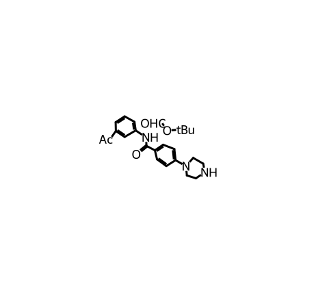 CC(=O)c1cccc(NC(=O)c2ccc(N3CCNCC3)cc2)c1.CC(C)(C)OC=O